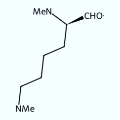 CNCCCC[C@H]([C]=O)NC